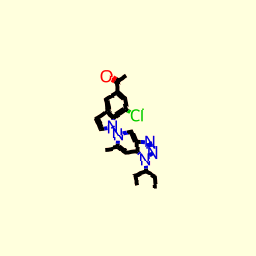 CCC(CC)N1N=NC2=CN(n3ccc4cc(C(C)=O)cc(Cl)c43)C(C)=CC21